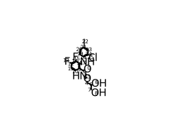 O=C(NOC[C@H](O)CO)c1ccc(F)c(F)c1Nc1ccc(I)cc1Cl